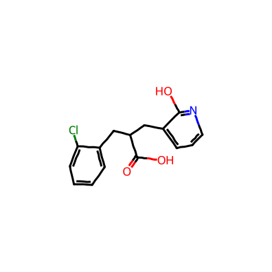 O=C(O)C(Cc1ccccc1Cl)Cc1cccnc1O